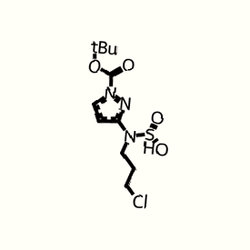 CC(C)(C)OC(=O)n1ccc(N(CCCCl)[SH](=O)=O)n1